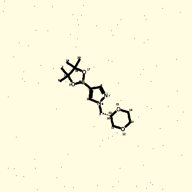 CC1(C)OB(c2cnn(C[C@H]3COCCO3)c2)OC1(C)C